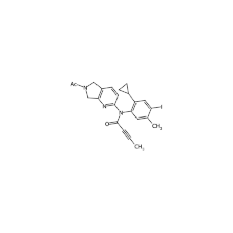 CC#CC(=O)N(c1ccc2c(n1)CN(C(C)=O)C2)c1cc(C)c(I)cc1C1CC1